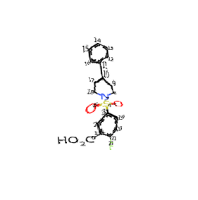 O=C(O)c1cc(S(=O)(=O)N2CCC(c3ccccc3)CC2)ccc1F